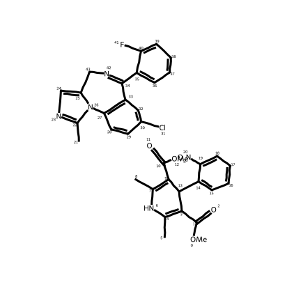 COC(=O)C1=C(C)NC(C)=C(C(=O)OC)C1c1ccccc1[N+](=O)[O-].Cc1ncc2n1-c1ccc(Cl)cc1C(c1ccccc1F)=NC2